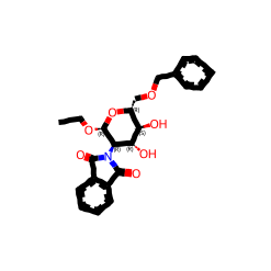 CCO[C@@H]1O[C@H](COCc2ccccc2)[C@@H](O)[C@H](O)[C@H]1N1C(=O)c2ccccc2C1=O